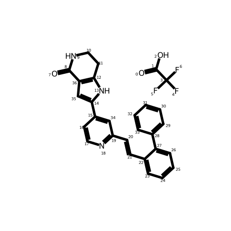 O=C(O)C(F)(F)F.O=C1NCCc2[nH]c(-c3ccnc(C=Cc4ccccc4-c4ccccc4)c3)cc21